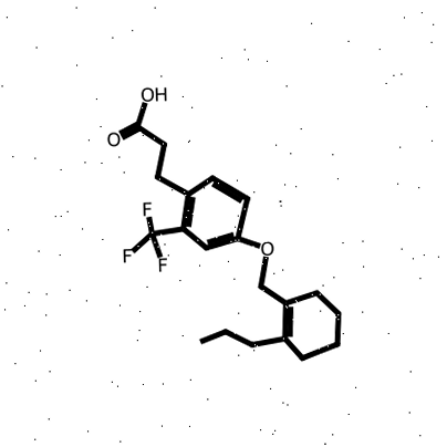 CCCC1=C(COc2ccc(CCC(=O)O)c(C(F)(F)F)c2)CCCC1